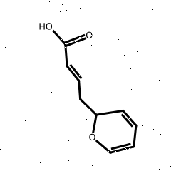 O=C(O)C=CCC1C=CC=CO1